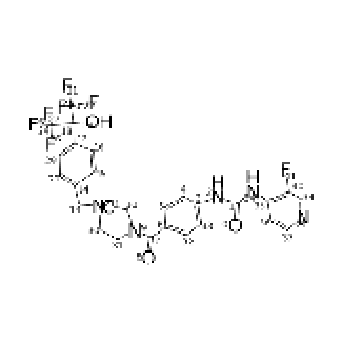 O=C(Nc1ccc(C(=O)N2CCN(Cc3ccc(C(O)(C(F)(F)F)C(F)(F)F)cc3)CC2)cc1)Nc1ccncc1F